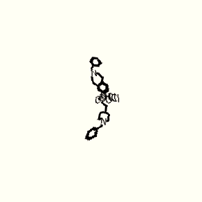 Cl.Cl.O=S(=O)(CCC1CCN(Cc2ccccc2)CC1)c1ccc2c(c1)CCN(Cc1ccccc1)CC2